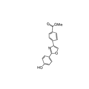 COC(=O)c1ccc(-c2coc(-c3ccc(O)cc3)n2)cc1